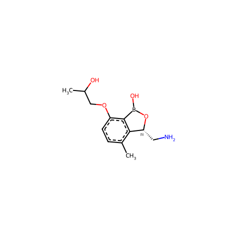 Cc1ccc(OCC(C)O)c2c1[C@@H](CN)OB2O